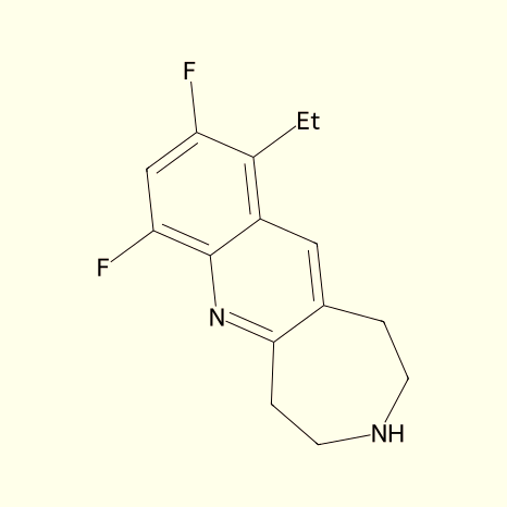 CCc1c(F)cc(F)c2nc3c(cc12)CCNCC3